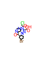 O=C(CCl)NC(/N=N/c1ccc(Br)cc1C(=O)c1ccccn1)C(=O)O